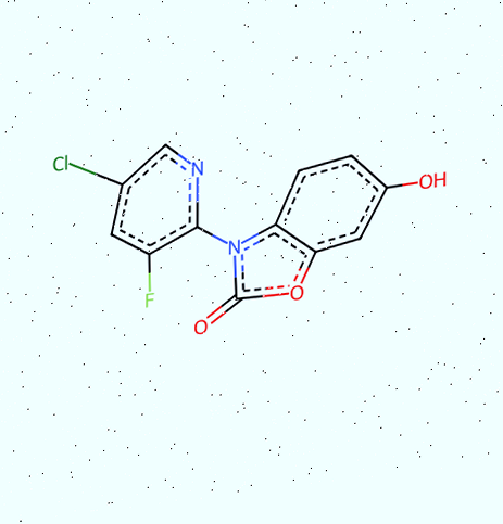 O=c1oc2cc(O)ccc2n1-c1ncc(Cl)cc1F